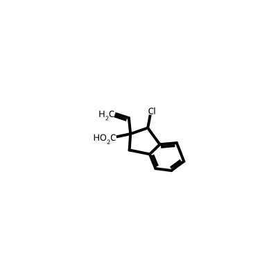 C=CC1(C(=O)O)Cc2ccccc2C1Cl